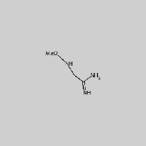 CONCC(=N)N